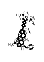 C=C(C)[C@@H]1CC[C@]2(NCCN3CCOCC3)CC[C@]3(C)[C@H](CC[C@@H]4[C@@]5(C)CC=C(C6=CC7(C6)CC(C(=O)OC(C)C)(C(=O)OC(C)C)C7)C(C)(C)[C@@H]5CC[C@]43C)[C@@H]12